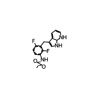 CS(=O)(=O)Nc1ccc(F)c(CC2=CNC3NC=CC=C23)c1F